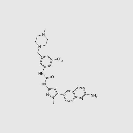 CN1CCN(Cc2cc(NC(=O)Nc3cc(-c4ccc5nc(N)ncc5c4)n(C)n3)cc(C(F)(F)F)c2)CC1